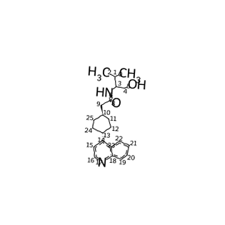 CC(C)C(CO)NC(=O)C[C@H]1CC[C@H](c2ccnc3ccccc32)CC1